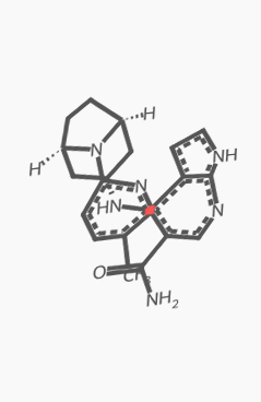 NC(=O)c1cnc2[nH]ccc2c1N[C@@H]1C[C@H]2CC[C@@H](C1)N2c1ccc(C(F)(F)F)cn1